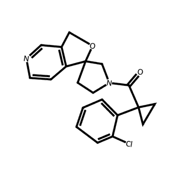 O=C(N1CCC2(C1)OCc1cnccc12)C1(c2ccccc2Cl)CC1